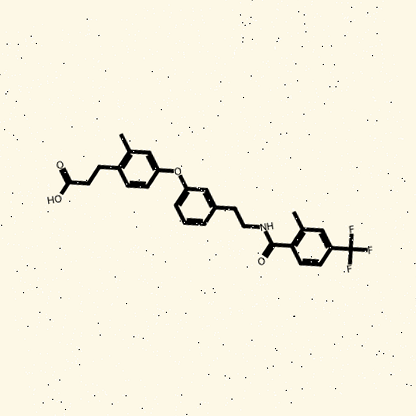 Cc1cc(Oc2cccc(CCNC(=O)c3ccc(C(F)(F)F)cc3C)c2)ccc1CCC(=O)O